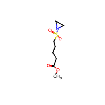 COC(=O)CCCCS(=O)(=O)N1CC1